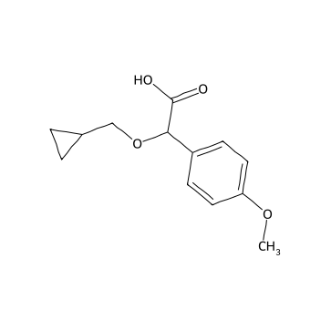 COc1ccc(C(OCC2CC2)C(=O)O)cc1